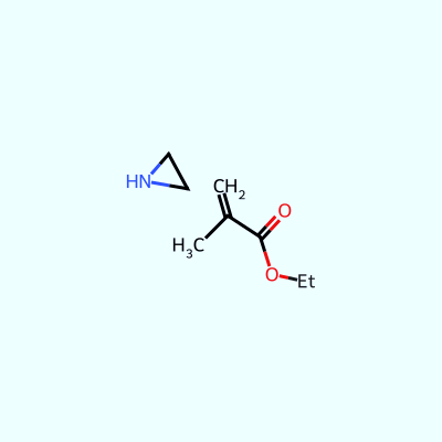 C1CN1.C=C(C)C(=O)OCC